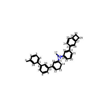 Cc1cccc(-c2cccc(C3=CCCC(N(C)c4cccc(-c5ccc6c(c5)CC6)c4)=C3)c2)c1